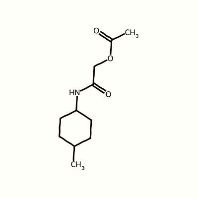 CC(=O)OCC(=O)NC1CCC(C)CC1